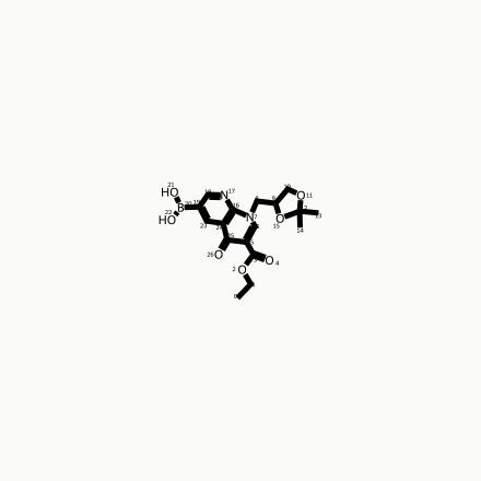 CCOC(=O)c1cn(CC2COC(C)(C)O2)c2ncc(B(O)O)cc2c1=O